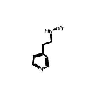 CCCNCCc1ccncc1